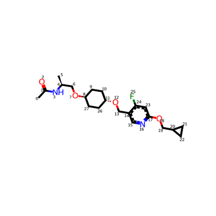 CC(=O)N[C@@H](C)CO[C@H]1CC[C@H](OCc2cnc(OCC3CC3)cc2F)CC1